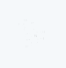 COc1cccc(CC(C(=O)O)C(=O)O)c1N(C(C)=O)C(C)=O